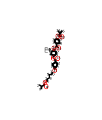 C=C(C)C(=O)OCCCCCCOc1ccc(C(=O)Oc2ccc(OC(=O)c3ccc(OC(=O)C(=C)C)cc3)c(CC)c2)cc1